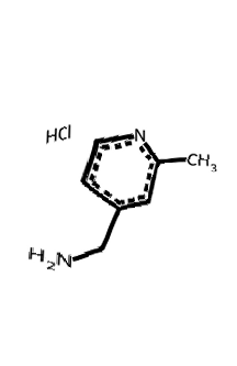 Cc1cc(CN)ccn1.Cl